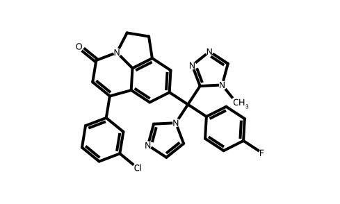 Cn1cnnc1C(c1ccc(F)cc1)(c1cc2c3c(c1)c(-c1cccc(Cl)c1)cc(=O)n3CC2)n1ccnc1